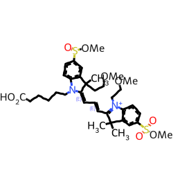 COCC[N+]1=C(/C=C/C=C2/N(CCCCCC(=O)O)c3ccc(S(=O)OC)cc3C2(C)CCOC)C(C)(C)c2cc(S(=O)(=O)OC)ccc21